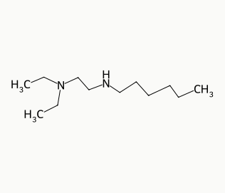 CCCCCCNCCN(CC)CC